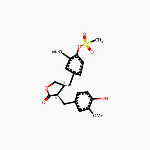 COc1cc(C[C@H]2C(=O)OC[C@@H]2Cc2ccc(OS(C)(=O)=O)c(OC)c2)ccc1O